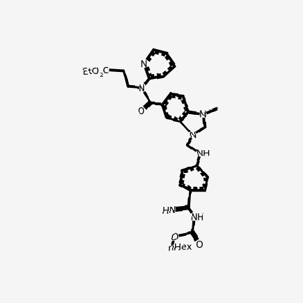 CCCCCCOC(=O)NC(=N)c1ccc(NCN2CN(C)c3ccc(C(=O)N(CCC(=O)OCC)c4ccccn4)cc32)cc1